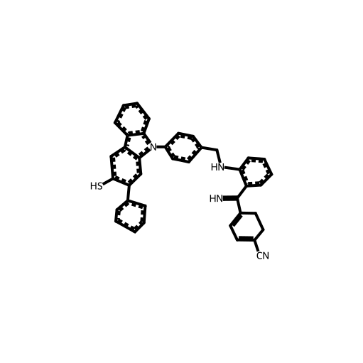 N#CC1=CC=C(C(=N)c2ccccc2NCc2ccc(-n3c4ccccc4c4cc(S)c(-c5ccccc5)cc43)cc2)CC1